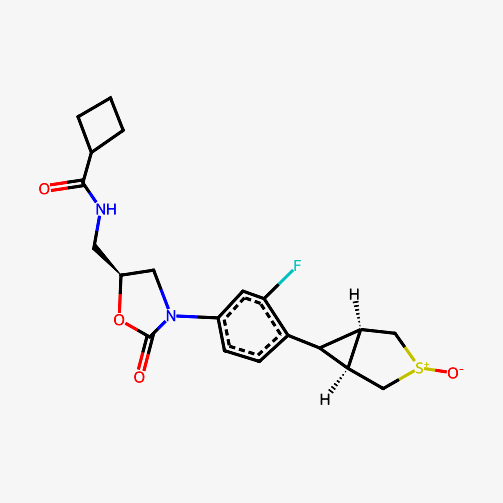 O=C(NC[C@H]1CN(c2ccc(C3[C@H]4C[S+]([O-])C[C@@H]34)c(F)c2)C(=O)O1)C1CCC1